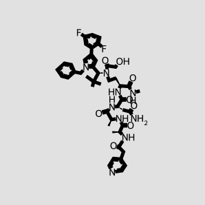 CNC(=O)[C@H](CCN(C(=O)CO)[C@@H](c1cc(-c2cc(F)ccc2F)cn1Cc1ccccc1)C(C)(C)C)NC(=O)[C@H](CC(N)=O)NC(=O)[C@H](C)NC(=O)[C@H](C)NC(=O)Cc1ccncc1